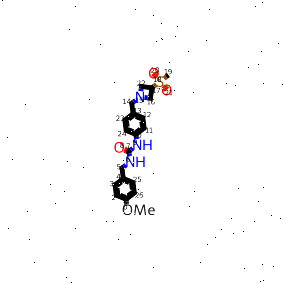 COc1ccc(CNC(=O)Nc2ccc(CN3CC(S(C)(=O)=O)C3)cc2)cc1